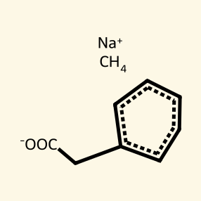 C.O=C([O-])Cc1ccccc1.[Na+]